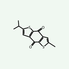 Cc1cc2c(s1)C(=O)c1cc(C(C)C)sc1C2=O